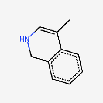 CC1=CNCc2ccccc21